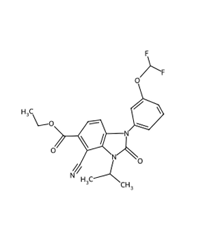 CCOC(=O)c1ccc2c(c1C#N)n(C(C)C)c(=O)n2-c1cccc(OC(F)F)c1